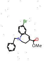 COC(=O)C1=Cc2cc(Br)ccc2N(Cc2ccccc2)CC1